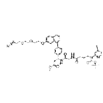 COC(=O)C[C@H](NC(=O)CNC(=O)CCCN(C(=O)OC(C)(C)C)c1cc(C)ccn1)c1ccc(-c2cccc3ccc(OCCOCCOCCN=[N+]=[N-])cc23)cc1